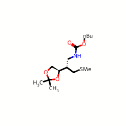 CCCCOC(=O)NC[C@H](CSC)[C@@H]1COC(C)(C)O1